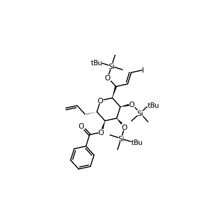 C=CC[C@@H]1O[C@@H](C(/C=C/I)O[Si](C)(C)C(C)(C)C)[C@@H](O[Si](C)(C)C(C)(C)C)[C@@H](O[Si](C)(C)C(C)(C)C)[C@H]1OC(=O)c1ccccc1